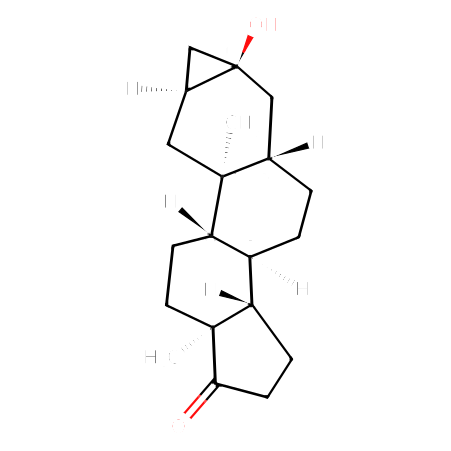 C[C@]12C[C@H]3C[C@]3(O)C[C@@H]1CC[C@@H]1[C@@H]2CC[C@]2(C)C(=O)CC[C@@H]12